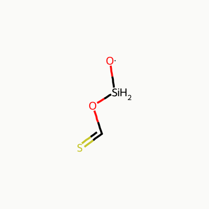 [O][SiH2]OC=S